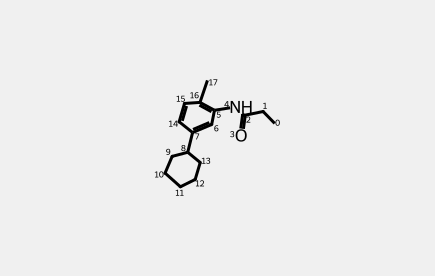 CCC(=O)Nc1cc(C2CCCCC2)ccc1C